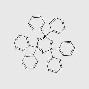 c1ccc(P2(c3ccccc3)=NP(c3ccccc3)(c3ccccc3)=NP(c3ccccc3)(c3ccccc3)=N2)cc1